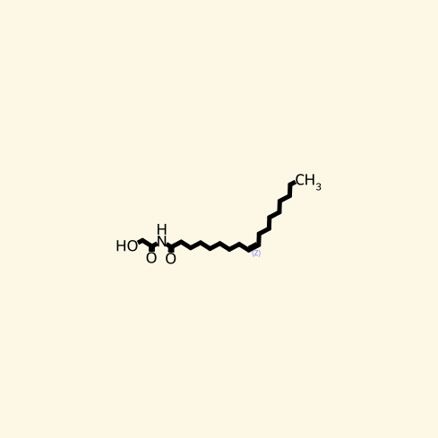 CCCCCCCC/C=C\CCCCCCCC(=O)NC(=O)CO